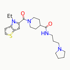 CCn1c(C(=O)N2CCC(C(=O)NCCCN3CCCC3)CC2)cc2sccc21